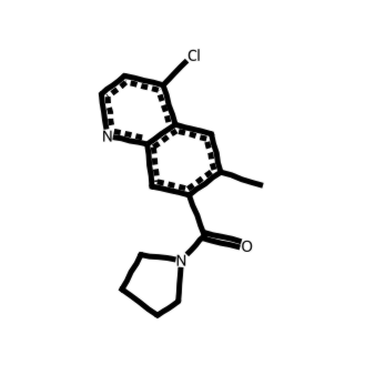 Cc1cc2c(Cl)ccnc2cc1C(=O)N1CCCC1